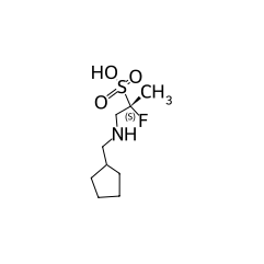 C[C@@](F)(CNCC1CCCC1)S(=O)(=O)O